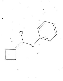 ClC(Oc1ccccc1)=C1CCC1